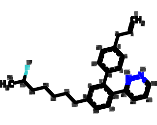 C=CCc1ccc(-c2cc(CCCCCC(C)F)ccc2-c2cccnn2)cc1